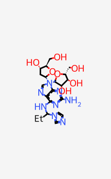 CCC(Nc1nc(N)nc2c1N=C[N+]2([C@@H]1C[C@H](O)[C@@H](CO)O1)[C@@H]1O[C@H](CO)[C@@H](O)[C@H]1O)n1ccnc1